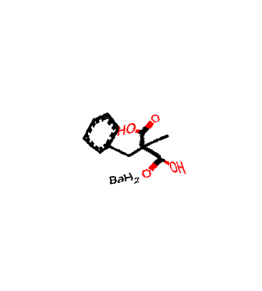 CC(Cc1ccccc1)(C(=O)O)C(=O)O.[BaH2]